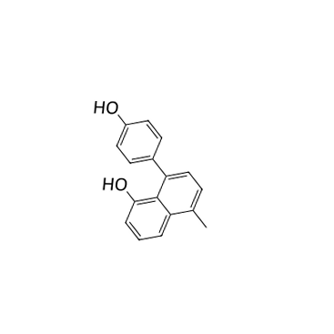 Cc1ccc(-c2ccc(O)cc2)c2c(O)cccc12